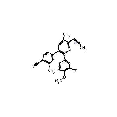 C/C=C\c1nc(-c2ccc(OC)c(F)c2)c(-c2ccc(C#N)c(C)c2)cc1C